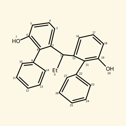 CCC(c1cccc(O)c1-c1ccccc1)c1cccc(O)c1-c1ccccc1